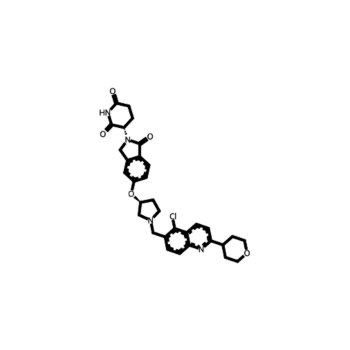 O=C1CC[C@H](N2Cc3cc(O[C@H]4CCN(Cc5ccc6nc(C7CCOCC7)ccc6c5Cl)C4)ccc3C2=O)C(=O)N1